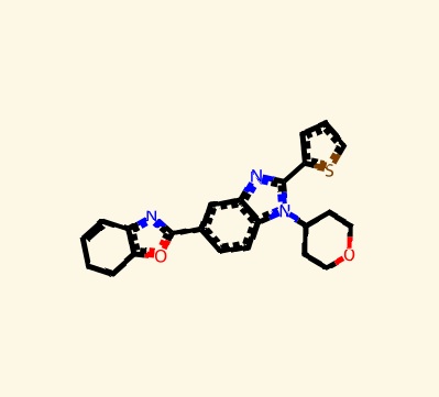 C1=Cc2nc(-c3ccc4c(c3)nc(-c3cccs3)n4C3CCOCC3)oc2CC1